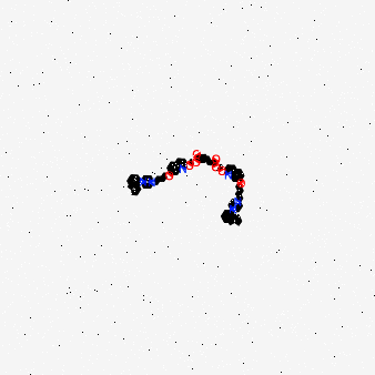 C/C=C\c1c(C)cccc1N1CCN(CCCCOc2ccc3ccc(OCOC(=O)CCC(C)(C)C(=O)OCOc4ccc5ccc(OCCCCN6CCN(c7cccc(C)c7/C=C\C)CC6)cc5n4)nc3c2)CC1